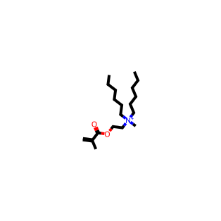 C=C(C)C(=O)OCC[N+](C)(CCCCCC)CCCCCC